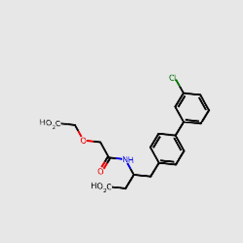 O=C(O)COCC(=O)NC(CC(=O)O)Cc1ccc(-c2cccc(Cl)c2)cc1